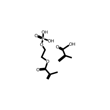 C=C(C)C(=O)O.C=C(C)C(=O)OCCOP(=O)(O)O